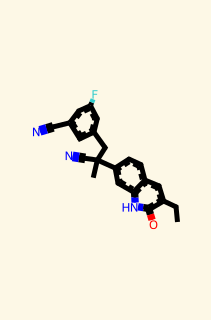 CCc1cc2ccc(C(C)(C#N)Cc3cc(F)cc(C#N)c3)cc2[nH]c1=O